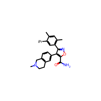 Cc1cc(C)c(C(C)C)cc1-c1noc(C(N)=O)c1-c1ccc2c(c1)CCN(C)C2